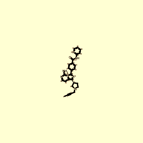 CC#CCN1CC[C@H](c2nc(-c3ccc(C(=O)Nc4ccccn4)cc3)n3c(N)nccc23)C1